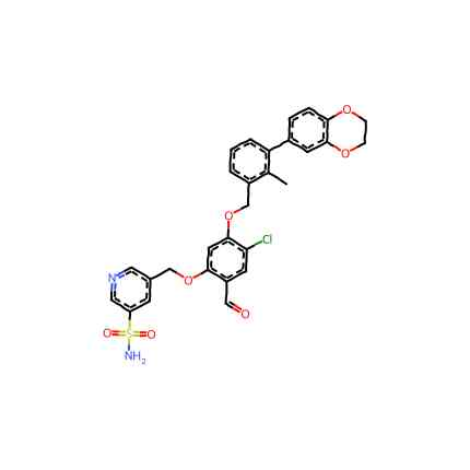 Cc1c(COc2cc(OCc3cncc(S(N)(=O)=O)c3)c(C=O)cc2Cl)cccc1-c1ccc2c(c1)OCCO2